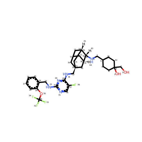 OCC1(O)CCC(CN[C@@H]2[C@@H]3CC4C[C@H]2C[C@@](CNc2nc(NCc5ccccc5OC(F)(F)F)ncc2F)(C4)C3)CC1